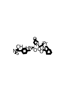 Cc1ncsc1-c1ccc(CNC(=O)[C@@H]2CC(=O)CN2C(=O)C(C(C)C)N2Cc3ccccc3C2=O)cc1